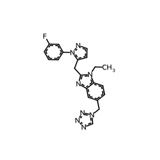 CCn1c(Cc2ccnn2-c2cccc(F)c2)nc2cc(Cn3cnnn3)ccc21